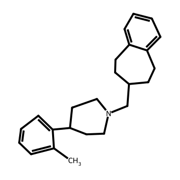 Cc1ccccc1C1CCN(CC2CCc3ccccc3CC2)CC1